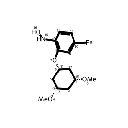 CO[C@@H]1C[C@H](OC)C[C@H](Oc2cc(F)ccc2NO)C1